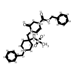 CS(=O)(=O)NC1(CN2C=CN(C(=O)OCc3ccccc3)CC2=O)CCN(Cc2ccccc2)CC1